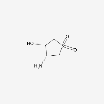 N[C@H]1CS(=O)(=O)C[C@H]1O